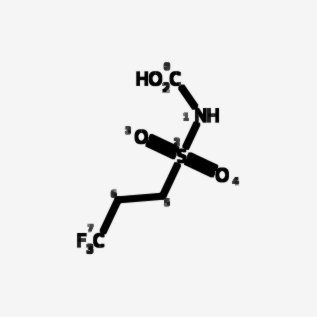 O=C(O)NS(=O)(=O)CCC(F)(F)F